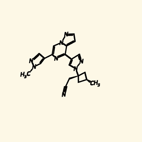 Cn1cc(-c2cn3nccc3c(-c3cnn([C@]4(CC#N)C[C@@H](C)C4)c3)n2)cn1